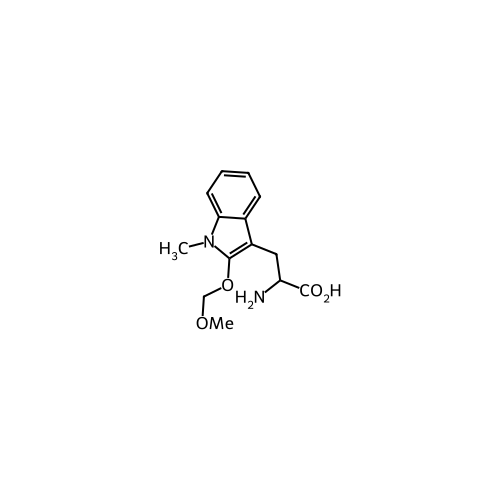 COCOc1c(CC(N)C(=O)O)c2ccccc2n1C